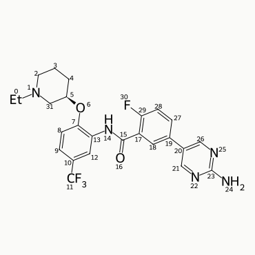 CCN1CCC[C@@H](Oc2ccc(C(F)(F)F)cc2NC(=O)c2cc(-c3cnc(N)nc3)ccc2F)C1